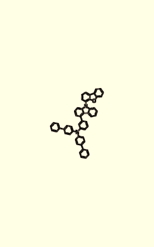 c1ccc(-c2ccc(N(c3ccc(-c4ccccc4)cc3)c3cccc(-c4cccc5c4c4ccccc4n5-c4cccc5c4oc4ccccc45)c3)cc2)cc1